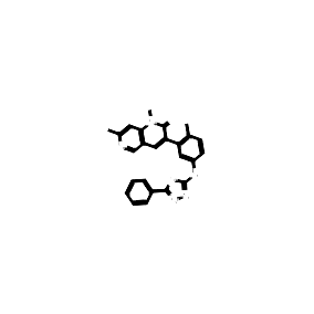 Cc1cc2c(cn1)cc(-c1cc(Nc3nnc(-c4ccccc4)[nH]3)ccc1C)c(=O)n2C